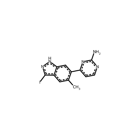 Cc1cc2c(I)n[nH]c2cc1-c1ccnc(N)n1